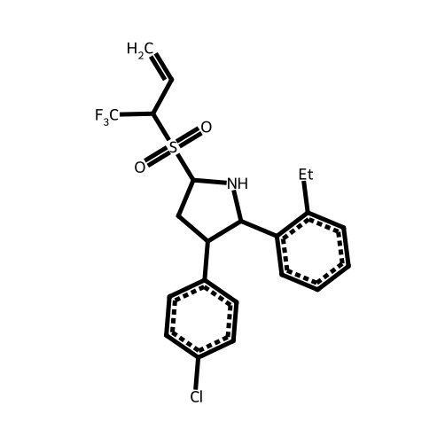 C=CC(C(F)(F)F)S(=O)(=O)C1CC(c2ccc(Cl)cc2)C(c2ccccc2CC)N1